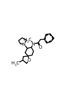 CC1COC2(CCC(N(C)C(=O)Cc3ccccc3)C(N3CCCC3)C2)C1